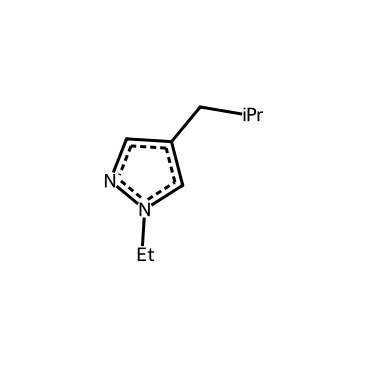 CCn1cc(CC(C)C)cn1